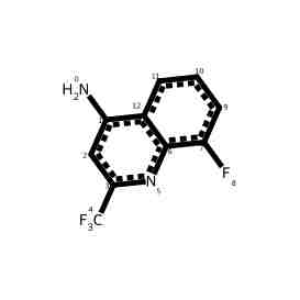 Nc1cc(C(F)(F)F)nc2c(F)cccc12